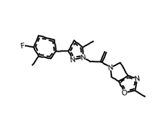 C=C(Cn1nc(-c2ccc(F)c(C)c2)cc1C)N1Cc2nc(C)oc2C1